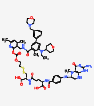 CCN(c1cc(-c2cccc(CN3CCOCC3)c2)cc(C(=O)NCc2c(C)cc(C)nc2OC(=O)OCCSSCC(NC(=O)CCC(NC(=O)c2ccc(NCC3CNc4[nH]c(N)nc(=O)c4N3C)cc2)C(=O)O)C(=O)O)c1C)C1CCOCC1